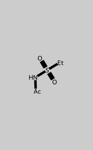 CCS(=O)(=O)NC(C)=O